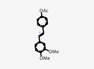 COc1ccc(/C=C/c2ccc(OC(C)=O)cc2)cc1OC